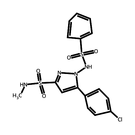 CNS(=O)(=O)c1cc(-c2ccc(Cl)cc2)n(NS(=O)(=O)c2ccccc2)n1